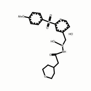 COc1ccc(S(=O)(=O)c2cc(CN(O)NC(=O)CC3CCOCC3)ccn2)cc1.Cl